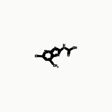 Cc1cc(Cl)nc2sc(NC(=O)O)nc12